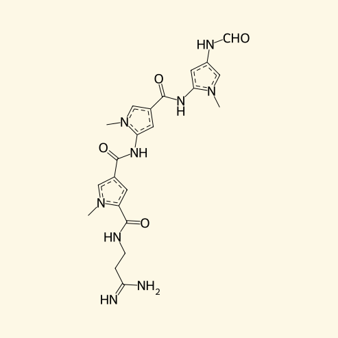 Cn1cc(NC=O)cc1NC(=O)c1cc(NC(=O)c2cc(C(=O)NCCC(=N)N)n(C)c2)n(C)c1